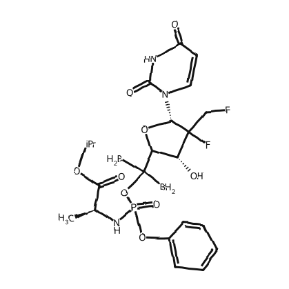 BC(B)(OP(=O)(N[C@@H](C)C(=O)OC(C)C)Oc1ccccc1)C1O[C@H](n2ccc(=O)[nH]c2=O)C(F)(CF)[C@@H]1O